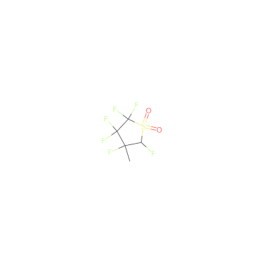 CC1(F)C(F)S(=O)(=O)C(F)(F)C1(F)F